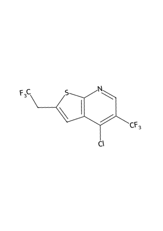 FC(F)(F)Cc1cc2c(Cl)c(C(F)(F)F)cnc2s1